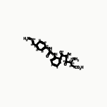 CC(=O)N(C(=O)c1ccccc1NC(=O)Nc1ccc(C=NN)cc1)C(=O)[C@@H](N)CC(=O)O